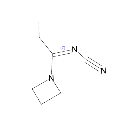 CC/C(=N/C#N)N1CCC1